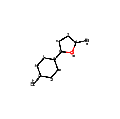 CCC1CCC(C2CCC(CC)O2)CC1